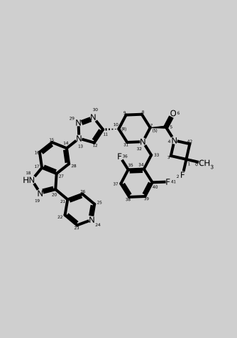 CC1(F)CN(C(=O)[C@@H]2CC[C@@H](c3cn(-c4ccc5[nH]nc(-c6ccncc6)c5c4)nn3)CN2Cc2c(F)cccc2F)C1